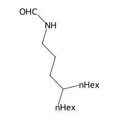 CCCCCCC(CCCCCC)CCCNC=O